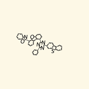 c1ccc(-c2nc(-c3ccc4c(c3)sc3ccccc34)nc(-c3cccc4oc5c(-c6nc7ccccc7o6)cccc5c34)n2)cc1